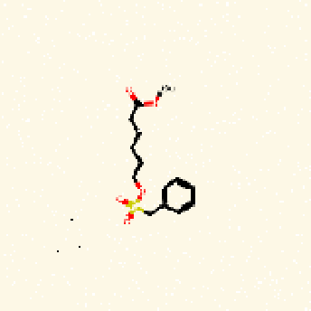 CC(C)(C)OC(=O)CCCCCOS(=O)(=O)Cc1ccccc1